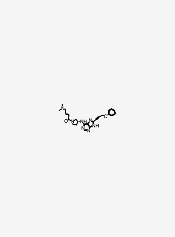 CN(C)C/C=C/C(=O)N1CC[C@@H](Nc2ncnc3[nH]c(C#CCOc4ccccc4)nc23)C1